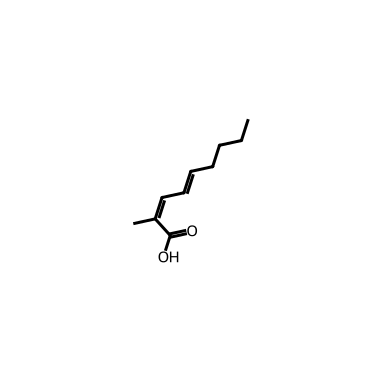 CCCCC=CC=C(C)C(=O)O